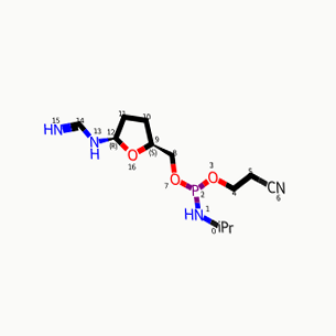 CC(C)NP(OCCC#N)OC[C@@H]1CC[C@H](NC=N)O1